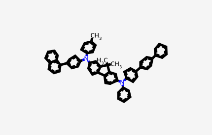 Cc1ccc(N(c2ccc(-c3cccc4ccccc34)cc2)c2ccc3c(c2)C(C)(C)c2cc(N(c4ccccc4)c4ccc(-c5ccc(-c6ccccc6)cc5)cc4)ccc2-3)cc1